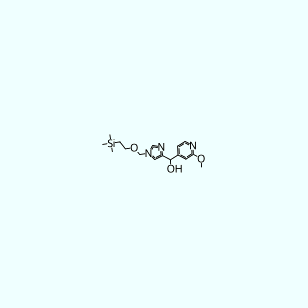 COc1cc(C(O)c2cn(COCC[Si](C)(C)C)cn2)ccn1